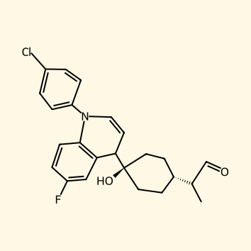 CC(C=O)[C@H]1CC[C@@](O)(C2C=CN(c3ccc(Cl)cc3)c3ccc(F)cc32)CC1